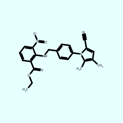 CCOC(=O)c1cccc([N+](=O)[O-])c1NCc1ccc(-n2c(C#N)cc(C)c2C)cc1